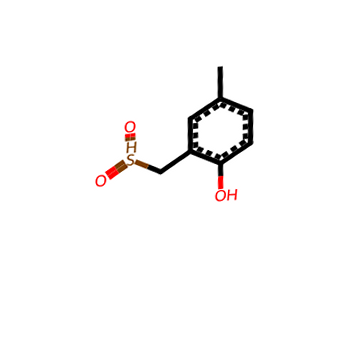 Cc1ccc(O)c(C[SH](=O)=O)c1